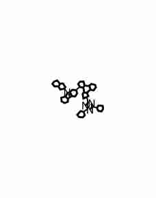 c1ccc(-c2nc(-c3ccccc3)nc(-c3ccc4c(c3)c3ccccc3c3cccc(-c5ccc6c7ccccc7n(-c7ccc8ccccc8c7)c6c5)c34)n2)cc1